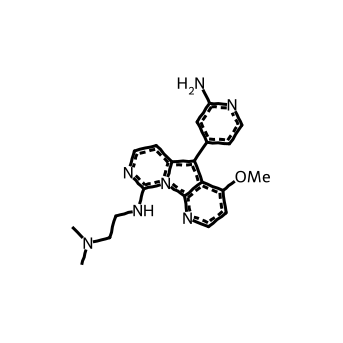 COc1ccnc2c1c(-c1ccnc(N)c1)c1ccnc(NCCN(C)C)n12